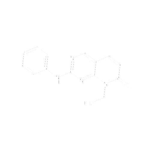 O=c1ccc2cnc(Nc3ccccc3)nc2n1CC(F)(F)F